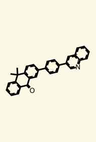 CC1(C)c2ccccc2C(=O)c2cc(-c3ccc(-c4cnc5ccccc5c4)cc3)ccc21